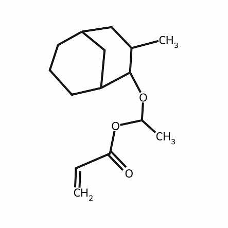 C=CC(=O)OC(C)OC1C(C)CC2CCCC1C2